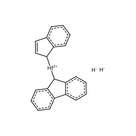 C1=C[CH]([Hf+2][CH]2c3ccccc3-c3ccccc32)c2ccccc21.[H-].[H-]